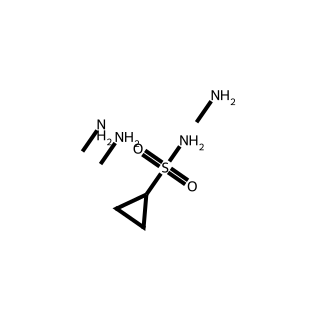 CN.CN.CN.NS(=O)(=O)C1CC1